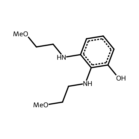 COCCNc1cccc(O)c1NCCOC